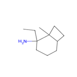 CCC1(N)CCCC2CCC21C